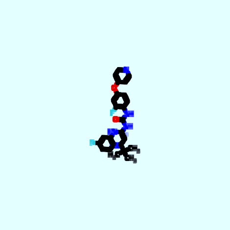 CC(C)(C)C(=N)/C=C(/NC(=O)Nc1ccc(Oc2ccncc2)cc1F)Nc1cccc(F)c1